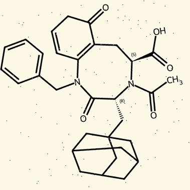 CC(=O)N1[C@H](CC23CC4CC(CC(C4)C2)C3)C(=O)N(Cc2ccccc2)C2=C(C[C@H]1C(=O)O)C(=O)CC=C2